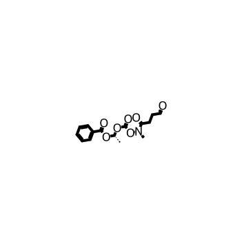 C[C@@H](OC(=O)ON(C)C(=O)CCC=O)OC(=O)c1ccccc1